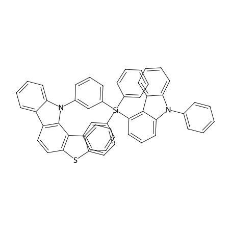 c1ccc(-n2c3ccccc3c3c([Si](c4ccccc4)(c4ccccc4)c4cccc(-n5c6ccccc6c6ccc7sc8ccccc8c7c65)c4)cccc32)cc1